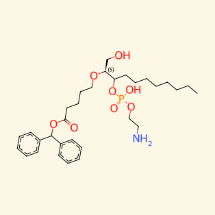 CCCCCCCCC(OP(=O)(O)OCCN)[C@H](CO)OCCCCC(=O)OC(c1ccccc1)c1ccccc1